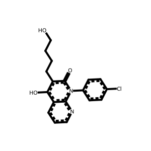 O=c1c(CCCCO)c(O)c2cccnc2n1-c1ccc(Cl)cc1